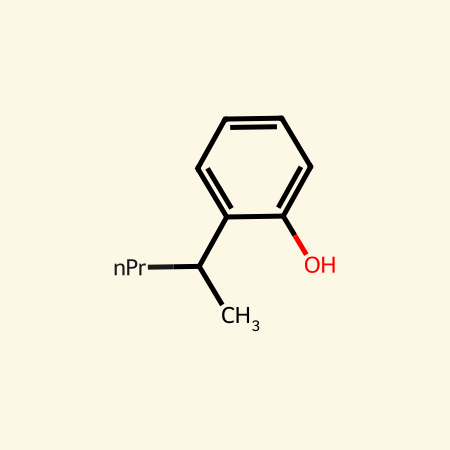 CCCC(C)c1ccccc1O